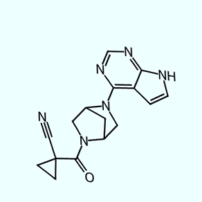 N#CC1(C(=O)N2CC3CC2CN3c2ncnc3[nH]ccc23)CC1